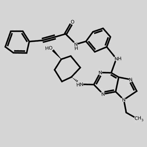 CCn1cnc2c(Nc3cccc(NC(=O)C#Cc4ccccc4)c3)nc(N[C@H]3CC[C@H](O)CC3)nc21